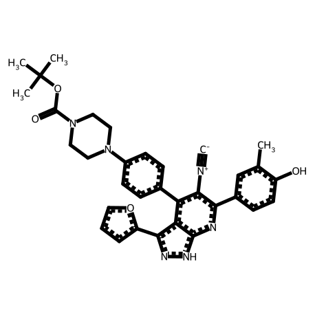 [C-]#[N+]c1c(-c2ccc(O)c(C)c2)nc2[nH]nc(-c3ccco3)c2c1-c1ccc(N2CCN(C(=O)OC(C)(C)C)CC2)cc1